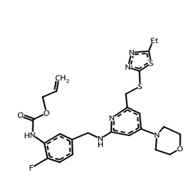 C=CCOC(=O)Nc1cc(CNc2cc(N3CCOCC3)cc(CSc3nnc(CC)s3)n2)ccc1F